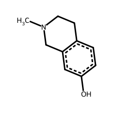 CN1CCc2ccc(O)cc2C1